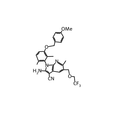 COc1ccc(COc2ccc(C)c(-n3c(N)c(C#N)c4cc(COCC(F)(F)F)c(C)nc43)c2C)cc1